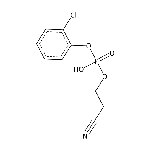 N#CCCOP(=O)(O)Oc1ccccc1Cl